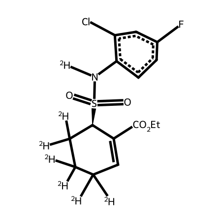 [2H]N(c1ccc(F)cc1Cl)S(=O)(=O)[C@H]1C(C(=O)OCC)=CC([2H])([2H])C([2H])([2H])C1([2H])[2H]